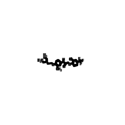 CCN(CC)CCOc1ccc(NC(=O)COc2ccc(C(F)(F)F)cc2Cl)cc1C